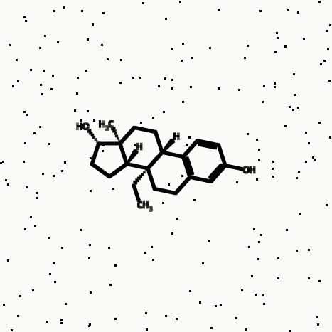 CC[C@@]12CCc3cc(O)ccc3[C@H]1CC[C@@]1(C)[C@H]2CC[C@@H]1O